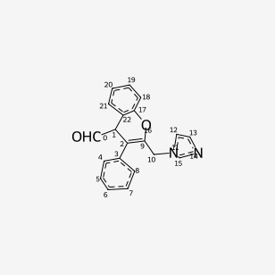 O=CC1C(c2ccccc2)=C(Cn2ccnc2)Oc2ccccc21